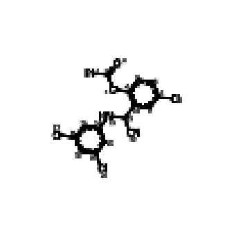 CCC(=O)Oc1ccc(Cl)cc1C(C#N)Nc1cc(Cl)cc(Cl)c1